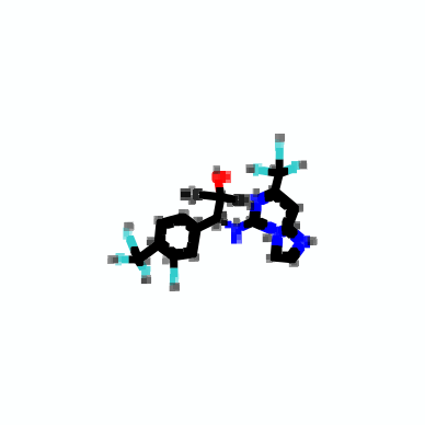 CC(C)(O)[C@H](Nc1nc(C(F)(F)F)cc2nccn12)c1ccc(C(F)(F)F)c(F)c1